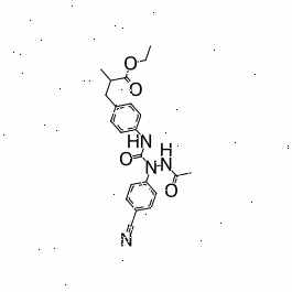 CCOC(=O)C(C)Cc1ccc(NC(=O)N(NC(C)=O)c2ccc(C#N)cc2)cc1